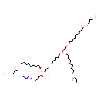 CCCCNOC(=O)CCCCCCCC(=O)OCC(COC(=O)CCCCCOCC(COC(O)CCC(=O)ONCCCC)OC(=O)CCCCCCCC(=O)ONCCCC)OC(=O)CCCCCCCC(=O)OC(N)CCC